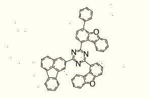 c1ccc(-c2ccc(-c3nc(-c4cc5c6c(cccc6c4)-c4ccccc4-5)nc(-c4cccc5oc6ccccc6c45)n3)c3c2oc2ccccc23)cc1